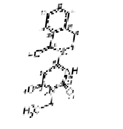 CCn1c(=O)cc(N2CCc3ccccc3C2=O)[nH]c1=O